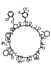 CC[C@H](C)[C@@H]1NC(=O)[C@H](CC(C)C)N(C)C(=O)C[C@@H](C(=O)N2CCCCC2)N(C)C(=O)[C@H](CC(C)C)N(C)C(=O)C2(CCCC2)NC(=O)[C@@H]2C[C@H](OCc3ccccc3Cl)CN2C(=O)[C@H](CCc2ccc(C(F)(F)F)c(F)c2)NC(=O)CN(C)C(=O)[C@H](CC2CCCCC2)N(C)C(=O)CN(C)C(=O)CN(C)C1=O